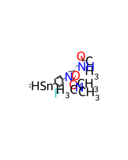 CC(=O)NC[C@H]1CN(c2cc[c]([SnH])c(F)c2)C(=O)O1.CN(C)C